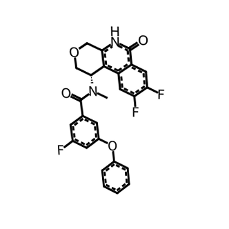 CN(C(=O)c1cc(F)cc(Oc2ccccc2)c1)[C@@H]1COCc2[nH]c(=O)c3cc(F)c(F)cc3c21